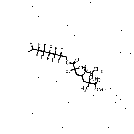 CCC(C)(CC(CC(C)(C)C(=O)OC)C(=O)N(C)C)C(=O)OCC(F)(F)C(F)(F)C(F)(F)C(F)(F)C(F)(F)C(F)F